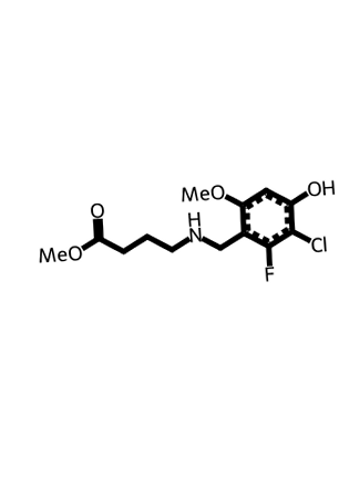 COC(=O)CCCNCc1c(OC)cc(O)c(Cl)c1F